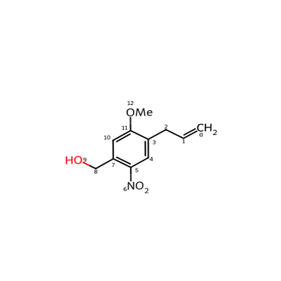 C=CCc1cc([N+](=O)[O-])c(CO)cc1OC